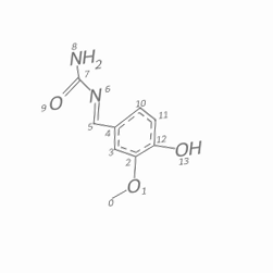 COc1cc(C=NC(N)=O)ccc1O